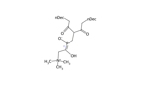 CCCCCCCCCCCC(=O)C(C/[P+]([O-])=C(\O)C[N+](C)(C)C)C(=O)CCCCCCCCCCC